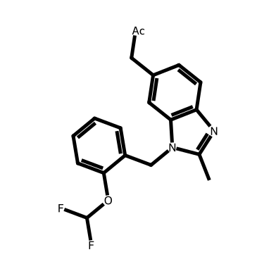 CC(=O)Cc1ccc2nc(C)n(Cc3ccccc3OC(F)F)c2c1